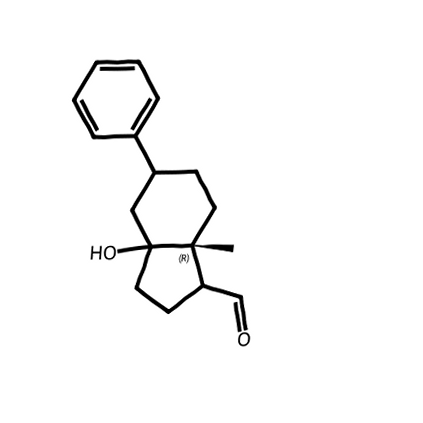 C[C@]12CCC(c3ccccc3)CC1(O)CCC2C=O